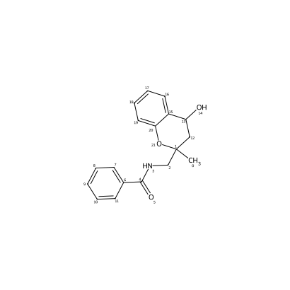 CC1(CNC(=O)c2ccccc2)CC(O)c2ccccc2O1